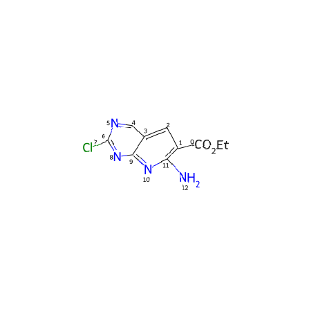 CCOC(=O)c1cc2cnc(Cl)nc2nc1N